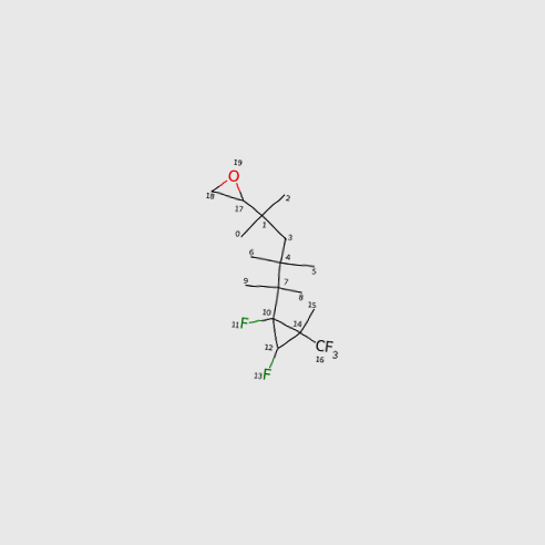 CC(C)(CC(C)(C)C(C)(C)C1(F)C(F)C1(C)C(F)(F)F)C1CO1